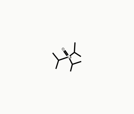 C[CH](C)[La](=[O])([CH](C)C)[CH](C)C